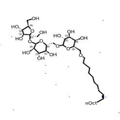 CCCCCCCC/C=C\CCCCCCCCOC[C@H]1OC(OC[C@H]2OC(O[C@]3(CO)O[C@H](CO)[C@@H](O)[C@@H]3O)[C@H](O)[C@@H](O)[C@@H]2O)[C@H](O)[C@@H](O)[C@H]1O